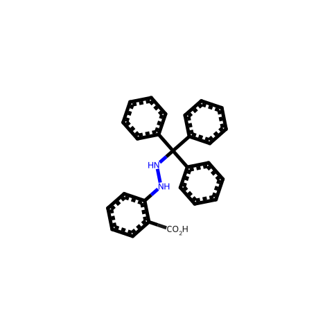 O=C(O)c1ccccc1NNC(c1ccccc1)(c1ccccc1)c1ccccc1